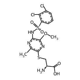 COc1nc(SC[C@H](N)C(=O)O)c(C)nc1NS(=O)(=O)c1cccc(Cl)c1Cl